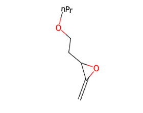 C=C1OC1CCOCCC